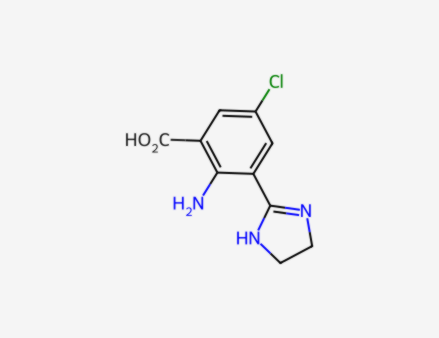 Nc1c(C(=O)O)cc(Cl)cc1C1=NCCN1